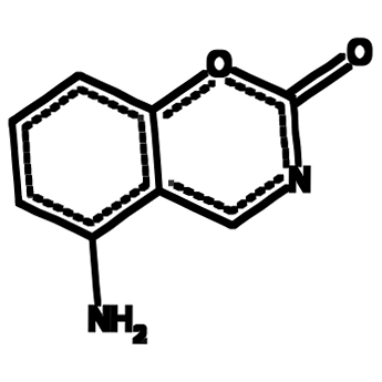 Nc1cccc2oc(=O)ncc12